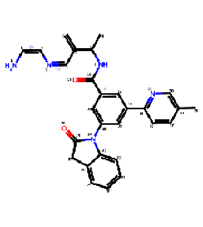 C=C(/C=N\C=C/N)C(C)NC(=O)c1cc(-c2ccc(C)cn2)cc(N2C(=O)Cc3ccccc32)c1